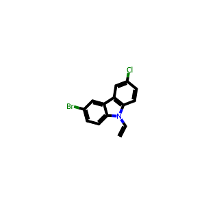 C=Cn1c2ccc(Cl)cc2c2cc(Br)ccc21